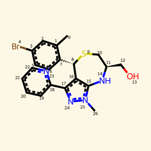 Cc1cc(Br)ccc1[C@@H]1SC[C@@H](CO)Nc2c1c(-c1ccccn1)nn2C